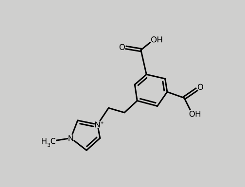 Cn1cc[n+](CCc2cc(C(=O)O)cc(C(=O)O)c2)c1